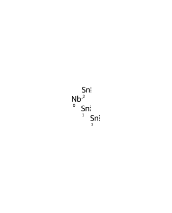 [Nb].[Sn].[Sn].[Sn]